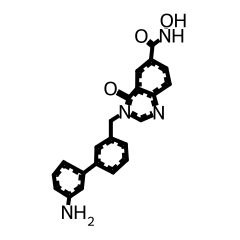 Nc1cccc(-c2cccc(Cn3cnc4ccc(C(=O)NO)cc4c3=O)c2)c1